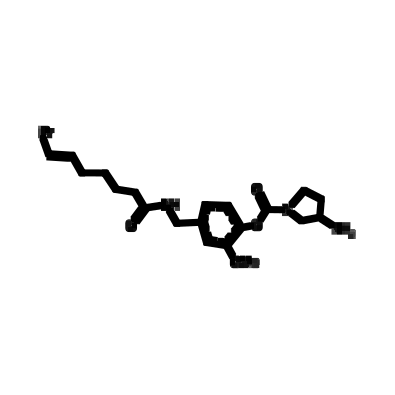 COc1cc(CNC(=O)CCCC/C=C/C(C)C)ccc1OC(=O)N1CCC(N)C1